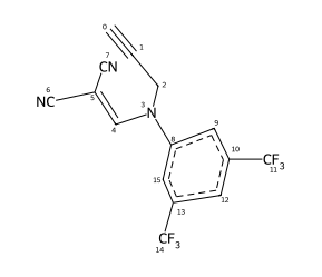 C#CCN(C=C(C#N)C#N)c1cc(C(F)(F)F)cc(C(F)(F)F)c1